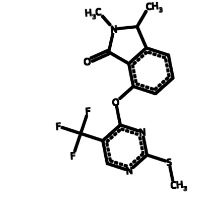 CSc1ncc(C(F)(F)F)c(Oc2cccc3c2C(=O)N(C)C3C)n1